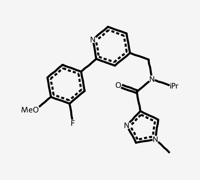 COc1ccc(-c2cc(CN(C(=O)c3cn(C)cn3)C(C)C)ccn2)cc1F